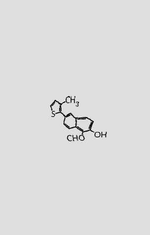 Cc1ccsc1-c1ccc2c(C=O)c(O)ccc2c1